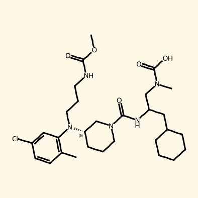 COC(=O)NCCCN(c1cc(Cl)ccc1C)[C@H]1CCCN(C(=O)NC(CC2CCCCC2)CN(C)C(=O)O)C1